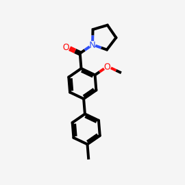 COc1cc(-c2ccc(C)cc2)ccc1C(=O)N1CCCC1